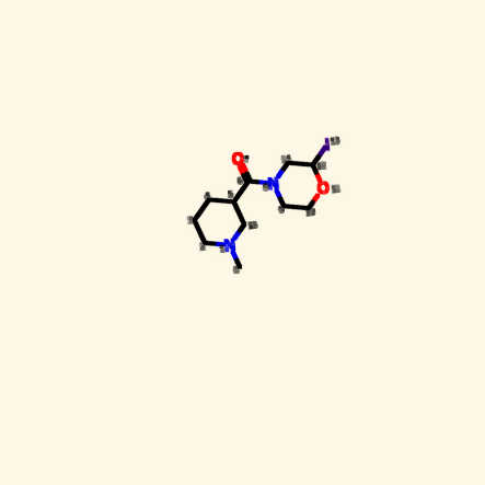 CN1CCCC(C(=O)N2CCOC(I)C2)C1